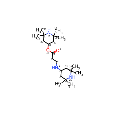 CC1(C)CC(NCCC(=O)OC2CC(C)(C)NC(C)(C)C2)CC(C)(C)N1